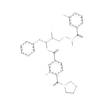 CCc1cccc(C(=O)N(CC)NCC(O)C(Cc2ccccc2)NC(=O)c2ccc(C(=O)N3CCCC3)c(O)c2)c1